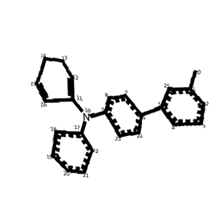 Cc1cccc(-c2ccc(N(C3=CCCC=C3)c3ccccc3)cc2)c1